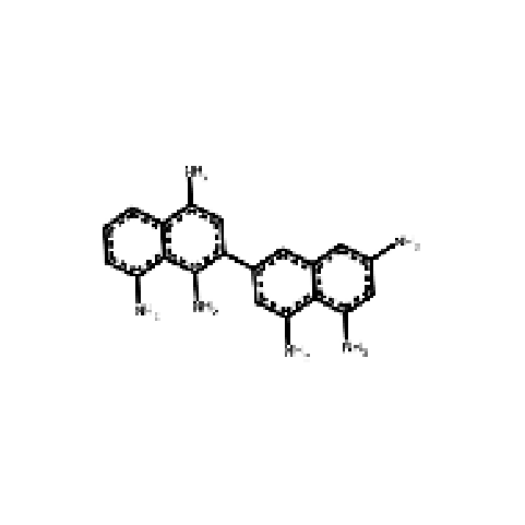 Nc1cc(N)c2c(N)cc(-c3cc(N)c4cccc(N)c4c3N)cc2c1